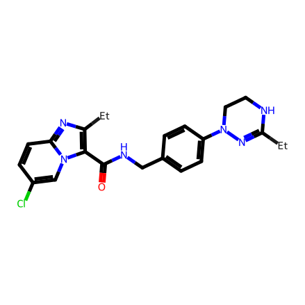 CCC1=NN(c2ccc(CNC(=O)c3c(CC)nc4ccc(Cl)cn34)cc2)CCN1